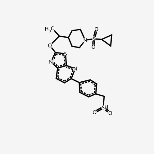 CC(Oc1nc2ccc(-c3ccc(C[SH](=O)=O)cc3)nc2s1)C1CCN(S(=O)(=O)C2CC2)CC1